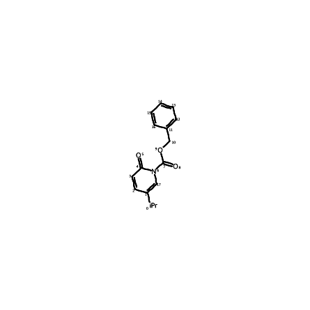 CC(C)c1ccc(=O)n(C(=O)OCc2ccccc2)c1